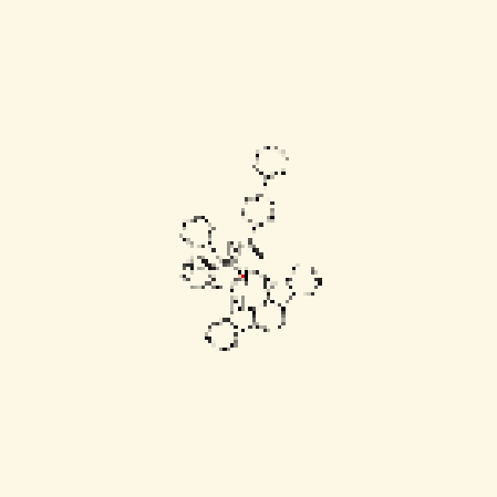 CC1(C)c2ccccc2-c2ccc(-n3c4ccccc4c4ccc5c6ccccc6n(-c6cc(-c7ccc(-c8ccccc8)cc7)nc(-c7ccccc7)n6)c5c43)cc21